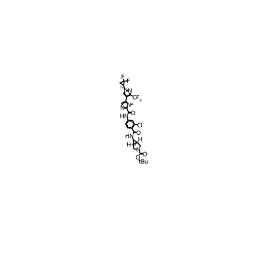 Cn1c(-c2cn([C@H]3CC3(F)F)nc2C(F)(F)F)cnc1C(=O)Nc1ccc(C(=O)NC2[C@H]3CN(C(=O)OC(C)(C)C)C[C@@H]23)c(Cl)c1